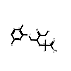 CCC(=O)C(COc1cc(C)ccc1C)CC(C)(C)C(=O)O